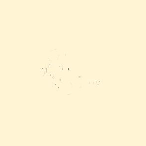 COc1cc(F)c(-c2nc3scc(C)n3c2Nc2c(C)cccc2Cl)c(F)c1